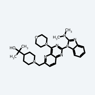 CN(C)c1nc2ccccc2n1-c1nc(N2CCOCC2)c2nc(CN3CCC(C(C)(C)O)CC3)ccc2n1